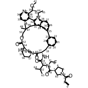 C=CC(=O)N1CC[C@H](C(=O)N(CF)C(C(=O)N[C@H]2Cc3cccc(c3)-c3ccc4c(c3)c(c(-c3cccnc3[C@H](C)OC)n4CC)CC(C)(C)COC(=O)[C@@H]3CCCN(N3)C2=O)C(C)C)C1